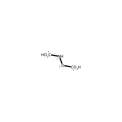 O=C(O)NOC(=O)O